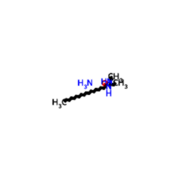 CCCCCCCCCCCCCCCCCC(=O)NC(CC)NCC.N